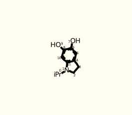 CC(C)N1CCc2cc(O)c(O)cc21